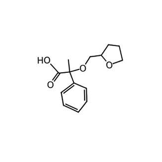 CC(OCC1CCCO1)(C(=O)O)c1ccccc1